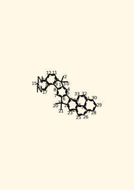 CC1(C)c2cc3c(cc2-c2c1ccc1ncncc21)C(C)(C)c1cc2ccc4cccc5ccc(c1-3)c2c45